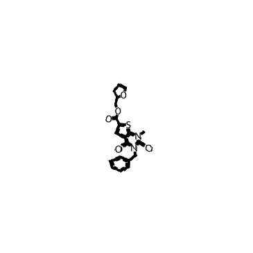 Cn1c(=O)n(Cc2ccccc2)c(=O)c2cc(C(=O)OCC3CCCO3)sc21